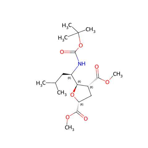 COC(=O)[C@H]1C[C@@H](C(=O)OC)[C@H]([C@@H](CC(C)C)NC(=O)OC(C)(C)C)O1